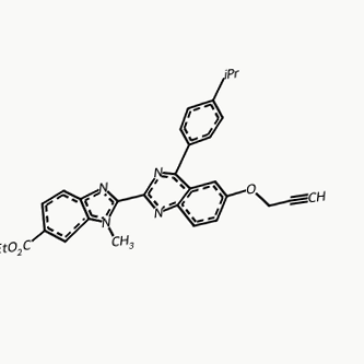 C#CCOc1ccc2nc(-c3nc4ccc(C(=O)OCC)cc4n3C)nc(-c3ccc(C(C)C)cc3)c2c1